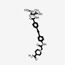 C[C@@H](O)[C@H](NC(=O)c1ccc(C#Cc2ccc(NC(=O)CN3CCC(C(N)=O)CC3)cc2)cc1)C(=O)NO